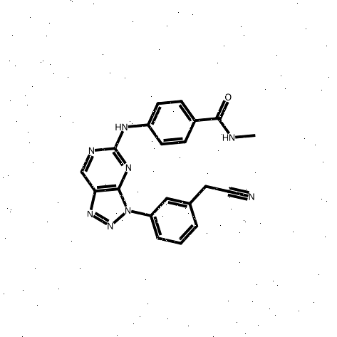 CNC(=O)c1ccc(Nc2ncc3nnn(-c4cccc(CC#N)c4)c3n2)cc1